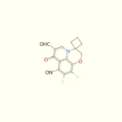 O=Cc1cn2c3c(c(F)c(F)c(N=O)c3c1=O)OCC21CCC1